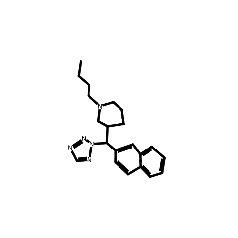 CCCCN1CCCC(C(c2ccc3ccccc3c2)n2ncnn2)C1